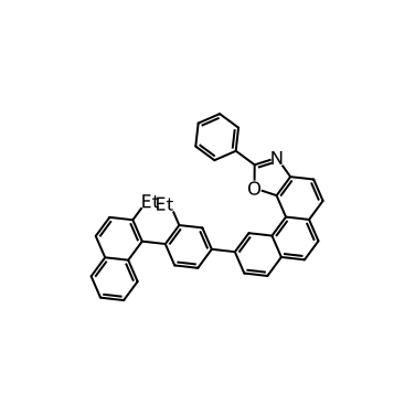 CCc1cc(-c2ccc3ccc4ccc5nc(-c6ccccc6)oc5c4c3c2)ccc1-c1c(CC)ccc2ccccc12